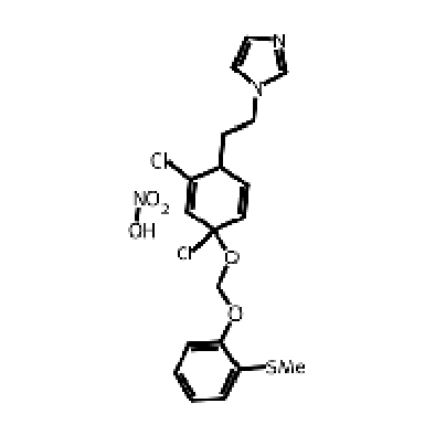 CSc1ccccc1OCOC1(Cl)C=CC(CCn2ccnc2)C(Cl)=C1.O=[N+]([O-])O